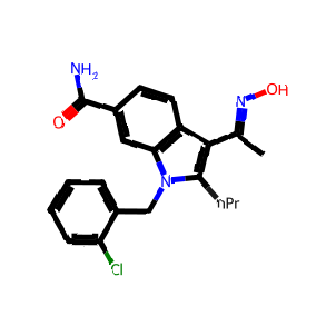 CCCc1c(C(C)=NO)c2ccc(C(N)=O)cc2n1Cc1ccccc1Cl